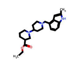 CCOC(=O)C1CCCN(C2CCN(Cc3cccc4[nH]c(C)cc34)CC2)C1